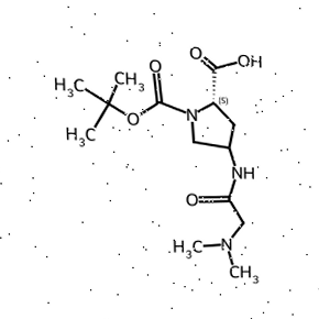 CN(C)CC(=O)NC1C[C@@H](C(=O)O)N(C(=O)OC(C)(C)C)C1